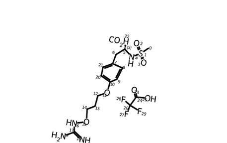 CS(=O)(=O)N[C@@H](Cc1ccc(OCCCONC(=N)N)cc1)C(=O)O.O=C(O)C(F)(F)F